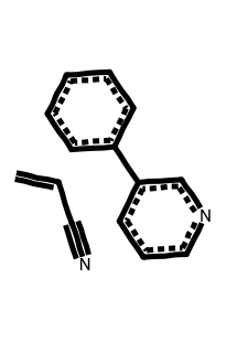 C=CC#N.c1ccc(-c2cccnc2)cc1